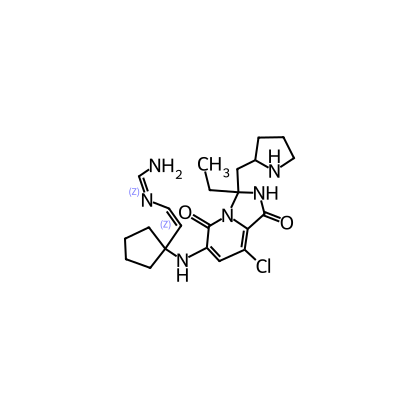 CCC1(CC2CCCN2)NC(=O)c2c(Cl)cc(NC3(/C=C\N=C/N)CCCC3)c(=O)n21